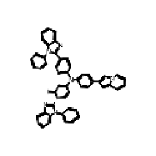 IC1C=C(N(c2ccc(-c3cc4ccccn4c3)cc2)c2ccc(-c3nc4ccccc4n3-c3ccccc3)cc2)C=C[C@@H]1c1nc2ccccc2n1-c1ccccc1